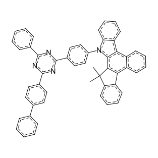 CC1(C)c2ccccc2-c2c1c1c(c3ccccc23)c2ccccc2n1-c1ccc(-c2nc(-c3ccccc3)nc(-c3ccc(-c4ccccc4)cc3)n2)cc1